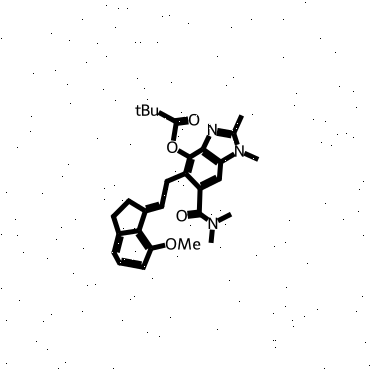 COc1cccc2c1C(=CCc1c(C(=O)N(C)C)cc3c(nc(C)n3C)c1OC(=O)C(C)(C)C)CC2